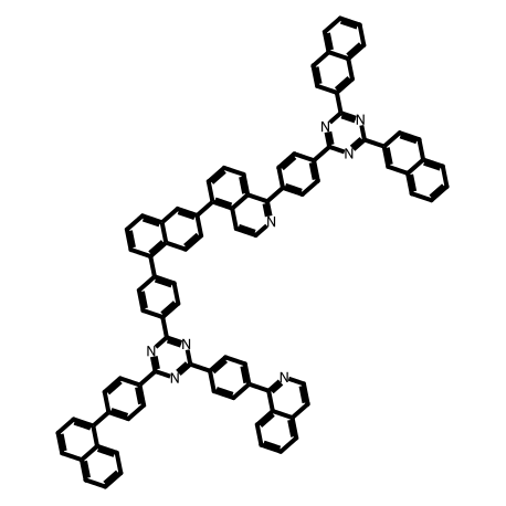 c1ccc2cc(-c3nc(-c4ccc(-c5nccc6c(-c7ccc8c(-c9ccc(-c%10nc(-c%11ccc(-c%12cccc%13ccccc%12%13)cc%11)nc(-c%11ccc(-c%12nccc%13ccccc%12%13)cc%11)n%10)cc9)cccc8c7)cccc56)cc4)nc(-c4ccc5ccccc5c4)n3)ccc2c1